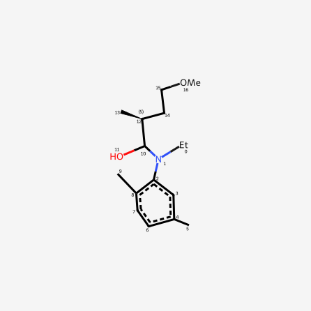 CCN(c1cc(C)ccc1C)C(O)[C@@H](C)CCOC